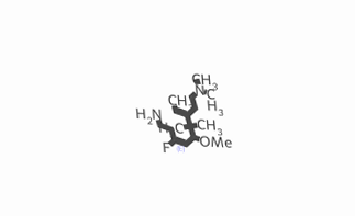 CC=C(CCN(C)C)C(C)(C)C(/C=C(/F)CCN)OC